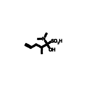 C=CCC(C)C(O)(N(C)C)S(=O)(=O)O